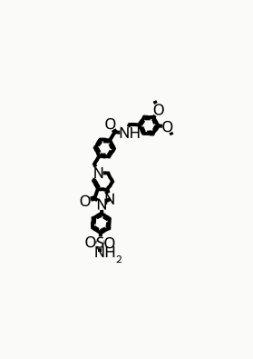 COc1ccc(CNC(=O)c2ccc(CN3C=C4C(=O)N(c5ccc(S(N)(=O)=O)cc5)N=C4CC3)cc2)cc1OC